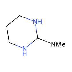 CNC1NCCCN1